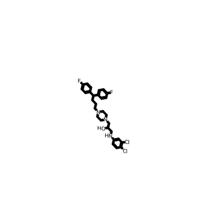 OC(CNc1ccc(Cl)c(Cl)c1)CN1CCN(CCCC(c2ccc(F)cc2)c2ccc(F)cc2)CC1